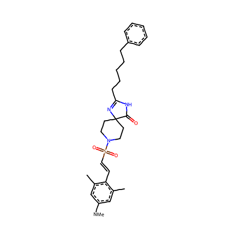 CNc1cc(C)c(/C=C/S(=O)(=O)N2CCC3(CC2)N=C(CCCCCc2ccccc2)NC3=O)c(C)c1